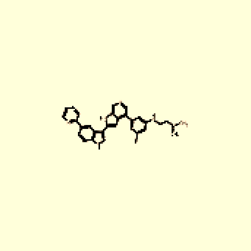 CN(C)CCNc1cc(F)cc(-c2cncc3[nH]c(-c4n[nH]c5ccc(-c6cnccn6)cc45)cc23)c1